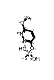 CC(C)Oc1ccc(OP(O)(O)=S)nn1